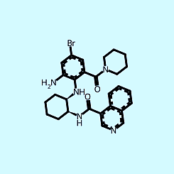 Nc1cc(Br)cc(C(=O)N2CCCCC2)c1N[C@@H]1CCCC[C@@H]1NC(=O)c1cncc2ccccc12